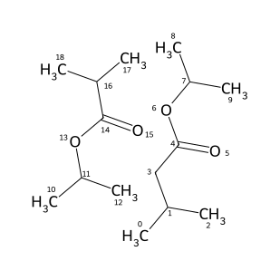 CC(C)CC(=O)OC(C)C.CC(C)OC(=O)C(C)C